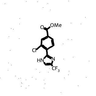 COC(=O)c1ccc(-c2nc(C(F)(F)F)c[nH]2)c(Cl)c1